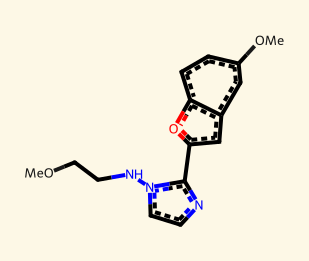 COCCNn1ccnc1-c1cc2cc(OC)ccc2o1